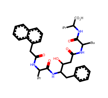 CCC(C)C(NC(=O)CC(O)C(Cc1ccccc1)NC(=O)C(NC(=O)Cc1cccc2ccccc12)C(C)C)C(=O)NC(C(=O)O)C(C)C